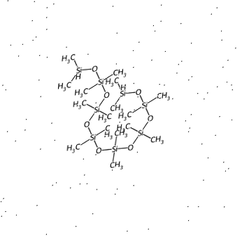 C[SiH](C)O[Si](C)(C)O[Si](C)(C)O[Si](C)(C)O[Si](C)(C)O[Si](C)(C)O[Si](C)(C)O[SiH](C)C